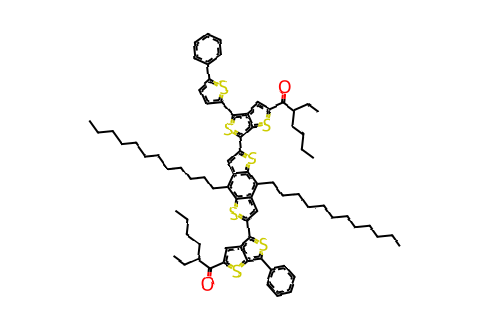 CCCCCCCCCCCCc1c2cc(-c3sc(-c4ccc(-c5ccccc5)s4)c4cc(C(=O)C(CC)CCCC)sc34)sc2c(CCCCCCCCCCCC)c2cc(-c3sc(-c4ccccc4)c4sc(C(=O)C(CC)CCCC)cc34)sc12